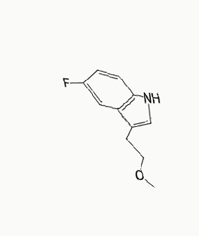 COCCc1c[nH]c2ccc(F)cc12